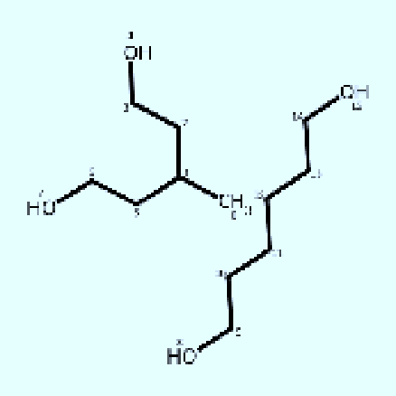 CC(CCO)CCO.OCCCCCCO